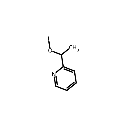 CC(OI)c1ccccn1